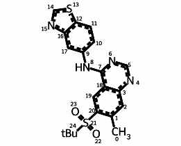 Cc1cc2ncnc(Nc3ccc4scnc4c3)c2cc1S(=O)(=O)C(C)(C)C